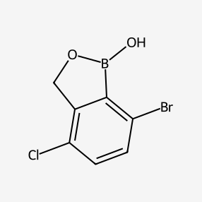 OB1OCc2c(Cl)ccc(Br)c21